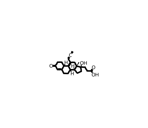 C=C=CC1=C2[C@H]3CCC(=O)C=C3CC[C@H]2[C@@H]2CC[C@@](O)(CCC(=O)O)[C@@]2(C)C1